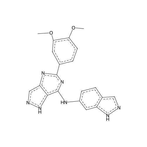 COc1ccc(-c2nc(Nc3ccc4cn[nH]c4c3)c3[nH]ncc3n2)cc1OC